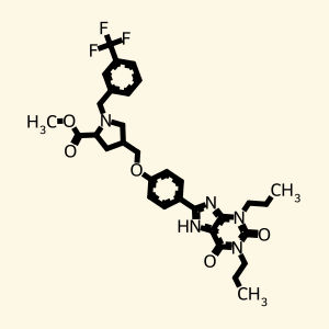 CCCn1c(=O)c2[nH]c(-c3ccc(OCC4CC(C(=O)OC)N(Cc5cccc(C(F)(F)F)c5)C4)cc3)nc2n(CCC)c1=O